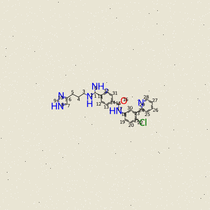 NC(NCCCc1c[nH]cn1)c1ccc(C(=O)Nc2ccc(Cl)c(-c3ccccn3)c2)cc1